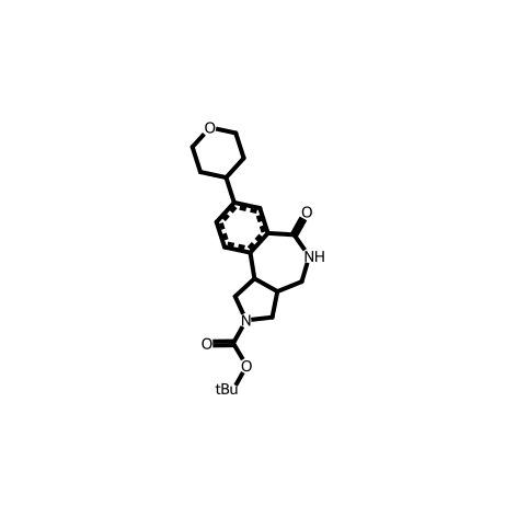 CC(C)(C)OC(=O)N1CC2CNC(=O)c3cc(C4CCOCC4)ccc3C2C1